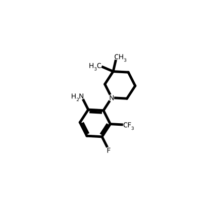 CC1(C)CCCN(c2c(N)ccc(F)c2C(F)(F)F)C1